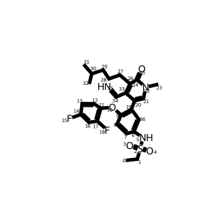 CCS(=O)(=O)Nc1ccc(Oc2ccc(F)cc2F)c(-c2cn(C)c(=O)c(CCCC(C)C)c2C=N)c1